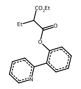 CCOC(=O)C(CC)C(=O)Oc1ccccc1-c1ccccn1